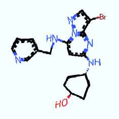 O[C@H]1CC[C@H](Nc2cc(NCc3cccnc3)n3ncc(Br)c3n2)CC1